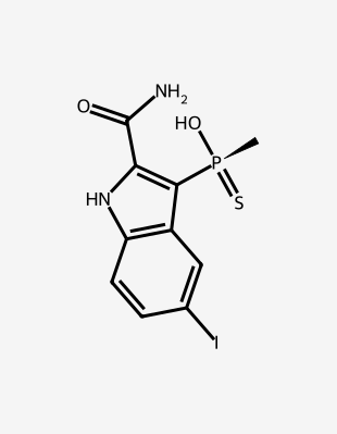 C[P@@](O)(=S)c1c(C(N)=O)[nH]c2ccc(I)cc12